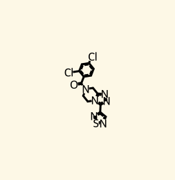 O=C(c1ccc(Cl)cc1Cl)N1CCn2c(nnc2-c2cnsn2)C1